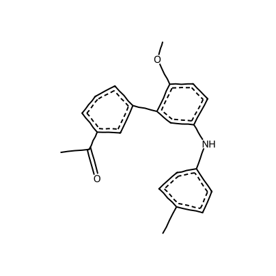 COc1ccc(Nc2ccc(C)cc2)cc1-c1cccc(C(C)=O)c1